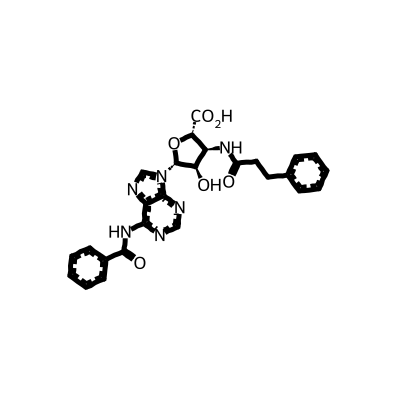 O=C(CCc1ccccc1)N[C@H]1[C@@H](O)[C@H](n2cnc3c(NC(=O)c4ccccc4)ncnc32)O[C@@H]1C(=O)O